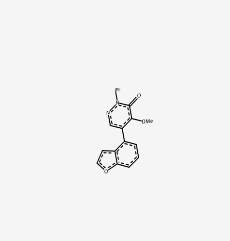 COc1c(-c2cccc3occc23)cnn(C(C)C)c1=O